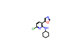 Clc1ccc(-c2cnco2)c(NC2CCCCC2)n1